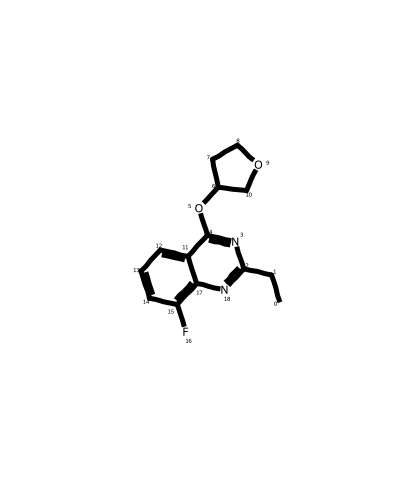 CCc1nc(OC2CCOC2)c2cccc(F)c2n1